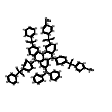 CC(C)(C)c1ccc(C(C)(C)c2ccc(N3c4ccc(C(C)(C)c5ccc(C(C)(C)C)cc5)cc4B4c5cc(C(C)(C)c6ccccc6)ccc5N(c5ccc(C(C)(C)c6ccccc6)cc5)c5cc(N(c6ccccc6)c6ccccc6)cc3c54)cc2)cc1